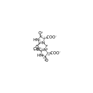 O=C([O-])C1C(=O)NC(=O)N1CN1C(=O)NC(=O)C1C(=O)[O-].[Ca+2]